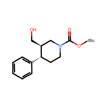 CC(C)(C)OC(=O)N1CC[C@H](c2ccccc2)[C@@H](CO)C1